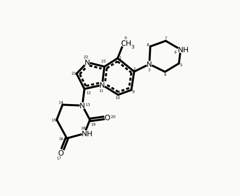 Cc1c(N2CCNCC2)ccn2c(N3CCC(=O)NC3=O)cnc12